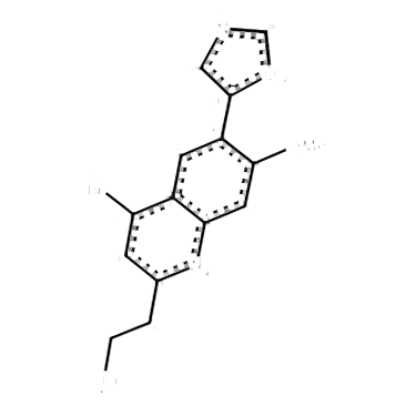 COc1cc2nc(CCC(C)C)cc(Br)c2cc1-c1cnco1